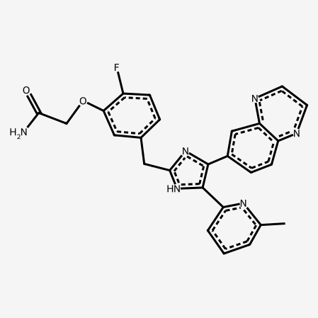 Cc1cccc(-c2[nH]c(Cc3ccc(F)c(OCC(N)=O)c3)nc2-c2ccc3nccnc3c2)n1